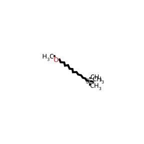 CCOCCCCCCCCCCCCCC[Si](CC)(CC)CC